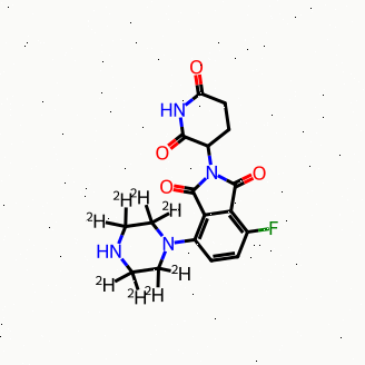 [2H]C1([2H])NC([2H])([2H])C([2H])([2H])N(c2ccc(F)c3c2C(=O)N(C2CCC(=O)NC2=O)C3=O)C1([2H])[2H]